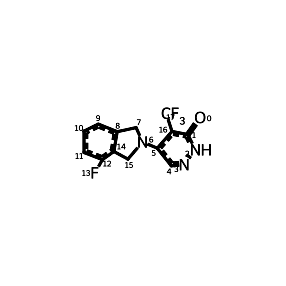 O=c1[nH]ncc(N2Cc3cccc(F)c3C2)c1C(F)(F)F